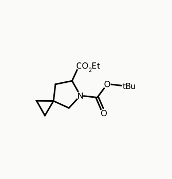 CCOC(=O)C1CC2(CC2)CN1C(=O)OC(C)(C)C